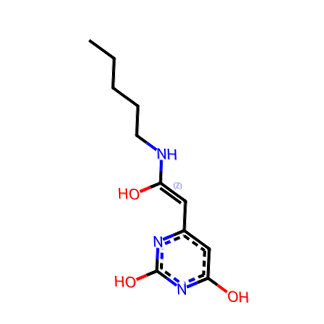 CCCCCN/C(O)=C/c1cc(O)nc(O)n1